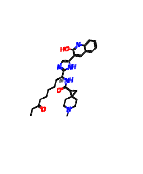 CCC(=O)CCCCC[C@H](NC(=O)C1CC12CCN(C)CC2)c1ncc(-c2cc3ccccc3nc2O)[nH]1